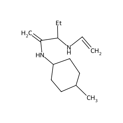 C=CNC(CC)C(=C)NC1CCC(C)CC1